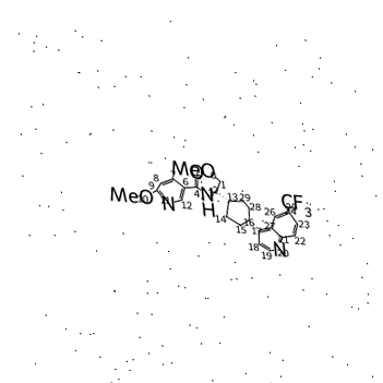 COCC(NC(=O)c1ccc(OC)nc1)[C@H]1CC[C@@H](c2ccnc3ccc(C(F)(F)F)cc32)CC1